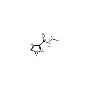 CCNC(=O)c1c[c]on1